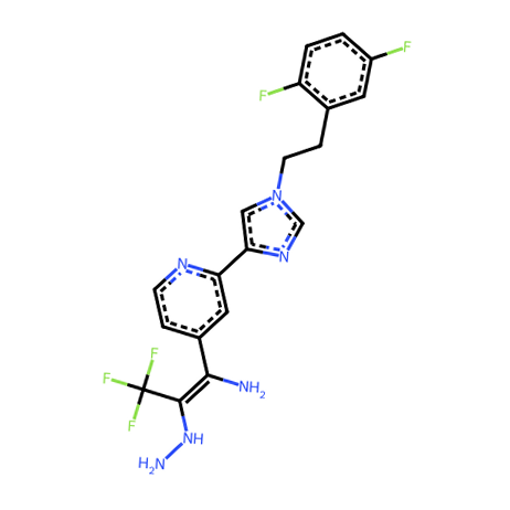 NN/C(=C(\N)c1ccnc(-c2cn(CCc3cc(F)ccc3F)cn2)c1)C(F)(F)F